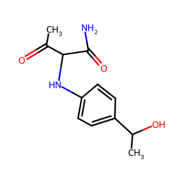 CC(=O)C(Nc1ccc(C(C)O)cc1)C(N)=O